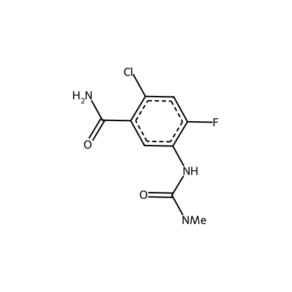 CNC(=O)Nc1cc(C(N)=O)c(Cl)cc1F